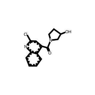 O=C(c1cc(Cl)nc2ccccc12)N1CCC(O)C1